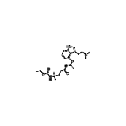 CCOC(=O)NC(C)(C)CCC(=O)OC(C)Oc1cccc2[nH]cc(CCN(C)C)c12